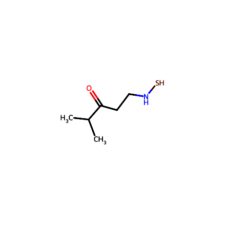 CC(C)C(=O)CCNS